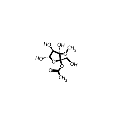 CO[C@]1(O)[C@H](O)[C@@H](O)O[C@@]1(CO)OC(C)=O